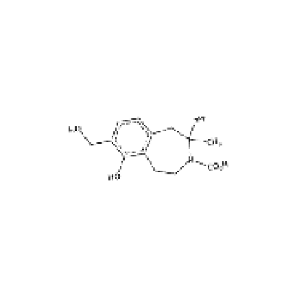 CCCC1(C)Cc2ccc(CO)c(O)c2CCN1C(=O)O